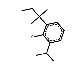 CCC(C)(C)c1cccc(C(C)C)c1F